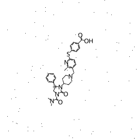 Cc1nc(Sc2ccc(C(=O)O)cc2)ccc1CN1CCC(N2C(=O)N(C(=O)N(C)C)C[C@H]2c2ccccc2)CC1